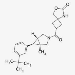 CC(C)(C)c1cccc([C@H]2[C@@H]3CN(C(=O)C4CC5(COC(=O)N5)C4)C[C@@]32C)c1